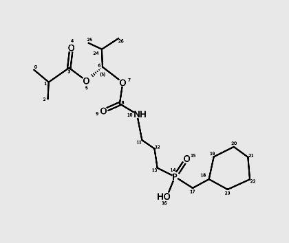 CC(C)C(=O)O[C@@H](OC(=O)NCCCP(=O)(O)CC1CCCCC1)C(C)C